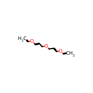 C=COC=CCOCC=COC=C